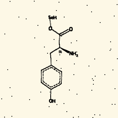 N[C@@H](Cc1ccc(O)cc1)C(=O)O[SeH]